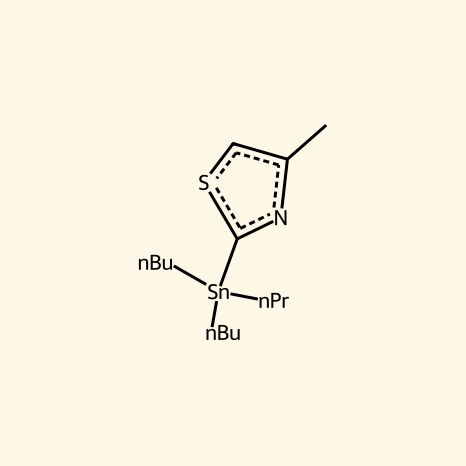 CCC[CH2][Sn]([CH2]CC)([CH2]CCC)[c]1nc(C)cs1